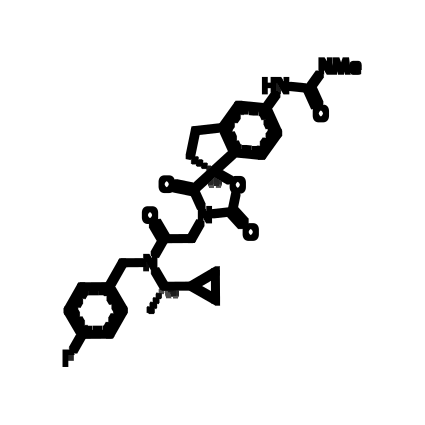 CNC(=O)Nc1ccc2c(c1)CC[C@@]21OC(=O)N(CC(=O)N(Cc2ccc(F)cc2)[C@@H](C)C2CC2)C1=O